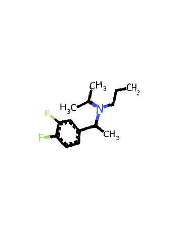 CCCN(C(C)C)C(C)c1ccc(F)c(F)c1